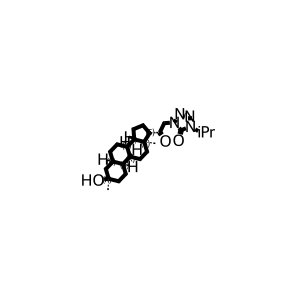 CC(C)n1nnn(CC(=O)[C@H]2CC[C@H]3[C@@H]4CC[C@@H]5C[C@](C)(O)CC[C@@H]5[C@H]4CC[C@]23C)c1=O